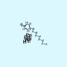 CCCCCCCCCc1ccc(I)cc1.F[P-](F)(F)(F)(F)F.[H+]